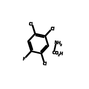 Fc1cc(Cl)c(Cl)cc1Cl.NC(=O)O